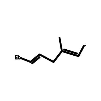 [CH2]/C=C(\C)C/C=C/CC